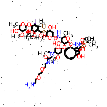 CCN(CC(=O)NCCOCCOCCN)[C@H]1CO[C@@H](O[C@H]2[C@H](O[C@H]3C#CC=CC#C[C@]4(O)CC(=O)C(NC(=O)OC)=C3/C4=C\CSSC(C)C)O[C@H](C)[C@@H](NO[C@H]3C[C@H](O)[C@H]([SH]=C(O)c4c(C)c(I)c(O[C@@H]5O[C@@H](C)[C@H](O)[C@@H](OC)[C@H]5O)c(OC)c4OC)[C@@H](C)O3)[C@@H]2O)C[C@@H]1OC